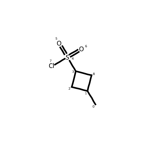 CC1CC(S(=O)(=O)Cl)C1